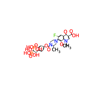 COc1c(N2CCN(C(=O)Oc3ccc(CC(O)(P(=O)(O)O)P(=O)(O)O)cc3)C(C)C2)c(F)cc2c(=O)c(C(=O)O)cn(C3CC3)c12